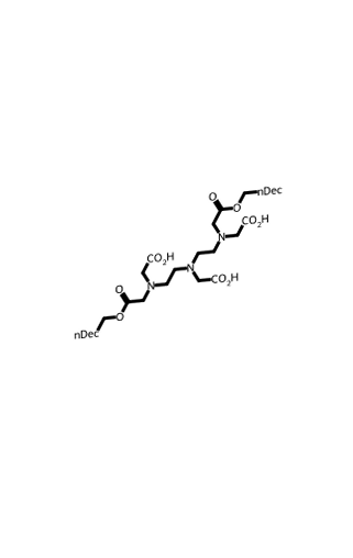 CCCCCCCCCCCOC(=O)CN(CCN(CCN(CC(=O)O)CC(=O)OCCCCCCCCCCC)CC(=O)O)CC(=O)O